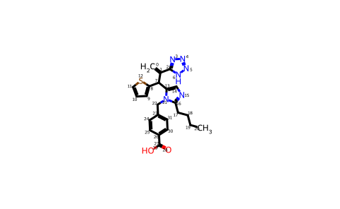 C=C(c1nnn[nH]1)C(c1cccs1)c1cnc(CCCC)n1Cc1ccc(C(=O)O)cc1